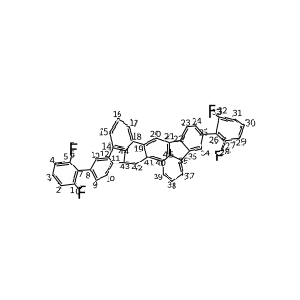 Fc1cccc(F)c1-c1ccc2c(c1)c1cccc3c4cc5c6ccc(-c7c(F)cccc7F)cc6c6cccc(c4cc2c13)c65